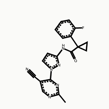 Cc1ncc(C#N)c(-n2ccc(NC(=O)C3(c4ccccc4F)CC3)n2)n1